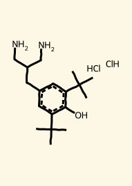 CC(C)(C)c1cc(CC(CN)CN)cc(C(C)(C)C)c1O.Cl.Cl